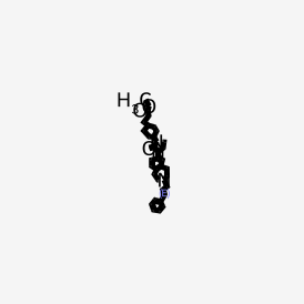 COC(=O)CCC1CCC(N2CCN(c3ccc4c(c3)CCN(C/C=C/c3ccccc3)CC4)C2=O)CC1